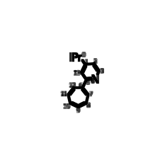 CC(C)c1ccnc(C2=CC=C=CC=C2)c1